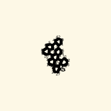 c1ccc(-c2ccc3cccc(-c4c5ccccc5c(-c5cccc6sc7ccccc7c56)c5ccccc45)c3c2)cc1